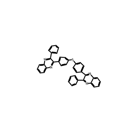 c1ccc(-c2nc3ccccc3nc2-c2ccc(Sc3ccc(-c4nc5ccccc5nc4-c4ccccc4)cc3)cc2)cc1